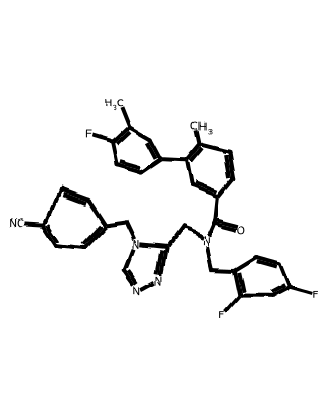 Cc1cc(-c2cc(C(=O)N(Cc3ccc(F)cc3F)Cc3nncn3Cc3ccc(C#N)cc3)ccc2C)ccc1F